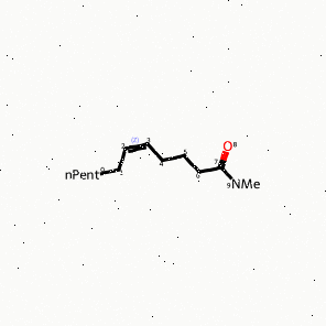 CCCCCC/C=C\CCCC(=O)NC